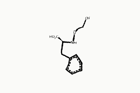 O=C(O)[C@H](Cc1ccccc1)NOCO